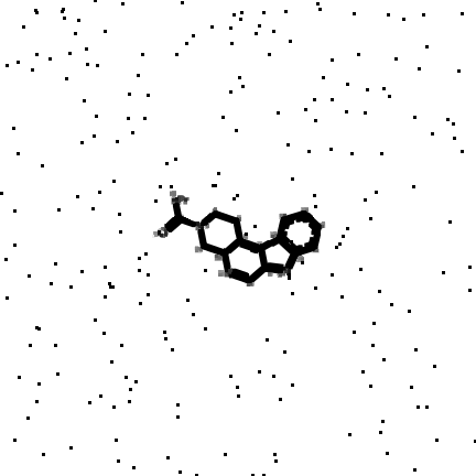 CCCC(=O)N1CCC2=C3C(=Nc4ccccc43)C=NC2C1